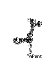 CCCCC/C=C\C/C=C\CCCCCCCCOC(=O)C1CC(OC(=O)CCCCN2CC(OCCN(CC)CC)C(OCCN(CC)CC)C2)CN1C(=O)CCCCCCC/C=C\C/C=C\CCCCC